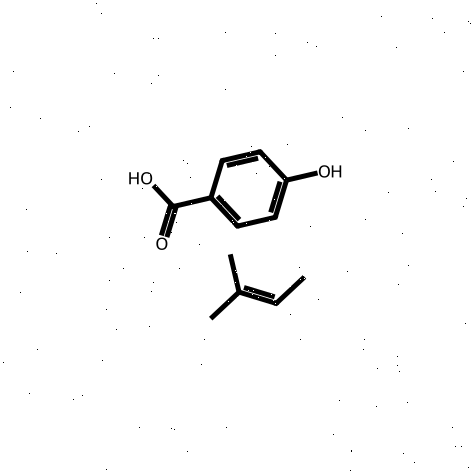 CC=C(C)C.O=C(O)c1ccc(O)cc1